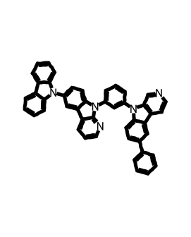 c1ccc(-c2ccc3c(c2)c2ccncc2n3-c2cccc(-n3c4ccc(-n5c6ccccc6c6ccccc65)cc4c4cccnc43)c2)cc1